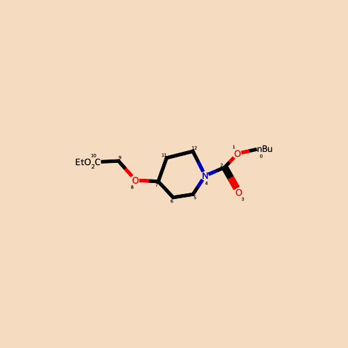 CCCCOC(=O)N1CCC(OCC(=O)OCC)CC1